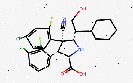 N#C[C@]1(c2ccc(Cl)cc2F)[C@H](C(CO)C2CCCCC2)N[C@@H](C(=O)O)[C@@H]1c1cccc(Cl)c1F